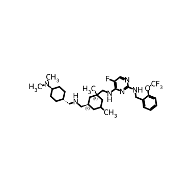 CC1C[C@@H](CNC[C@H]2CC[C@H](N(C)C)CC2)C[C@](C)(CNc2nc(NCc3ccccc3OC(F)(F)F)ncc2F)C1